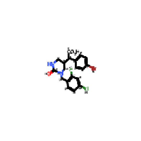 O=C(O)C(c1ccc(Br)cc1)C1CNC(=O)N(Cc2ccc(Cl)cc2Cl)C1